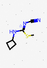 CS/C(=N\C#N)NC1CCC1